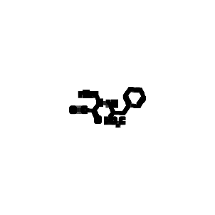 CCCCCCN(N[C@@H](Cc1ccccc1)C(=O)O)C(=O)C=O